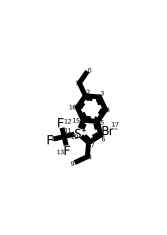 CCc1ccc2cc(CC)[s+](C(F)(F)F)c2c1.[Br-]